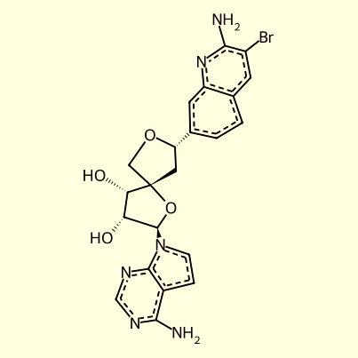 Nc1nc2cc([C@@H]3C[C@@]4(CO3)O[C@@H](n3ccc5c(N)ncnc53)[C@H](O)[C@@H]4O)ccc2cc1Br